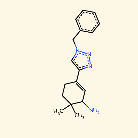 CC1(C)CCC(c2cn(Cc3ccccc3)nn2)=CC1N